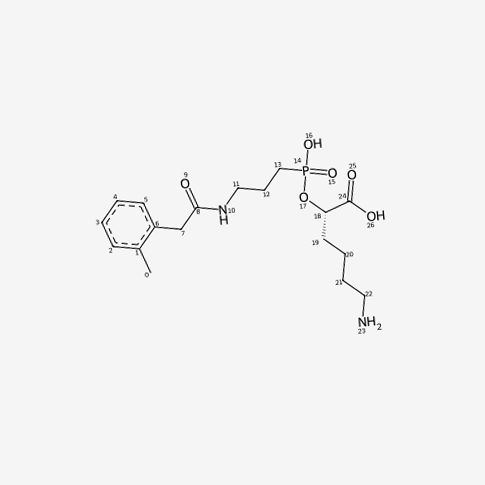 Cc1ccccc1CC(=O)NCCCP(=O)(O)O[C@@H](CCCCN)C(=O)O